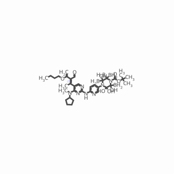 BC1(B)N(C(=O)OC(C)(C)C)C(B)(O)C(O)(O)N(c2ccc(Nc3ncc(/C(C)=C(\C=O)C(=C)OCCCC)c(N(C)C4CCCC4)n3)nc2)C1(B)O